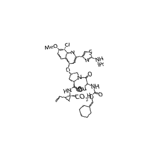 C=CC1C[C@]1(NC(=O)C1C[C@@H](Oc2cc(-c3csc(NC(C)C)n3)nc3c(Cl)c(OC)ccc23)CN1C(=O)C(NC(=O)OC=C1CCCCC1)C(C)(C)C)C(=O)O